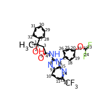 C[C@](O)(CC(=O)Nc1nc2ccc(C(F)(F)F)nc2n1-c1ccc(OC(F)F)cc1)c1ccccc1